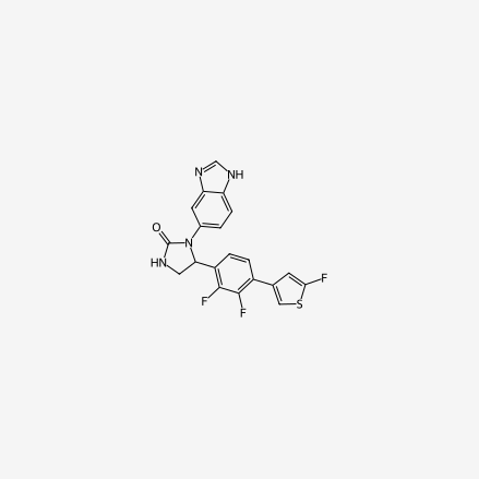 O=C1NCC(c2ccc(-c3csc(F)c3)c(F)c2F)N1c1ccc2[nH]cnc2c1